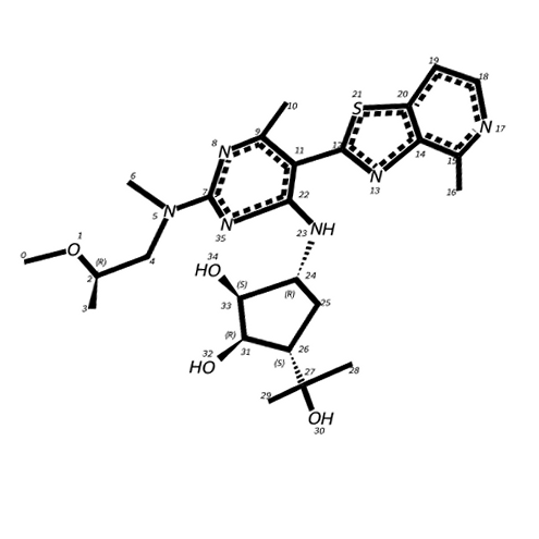 CO[C@H](C)CN(C)c1nc(C)c(-c2nc3c(C)nccc3s2)c(N[C@@H]2C[C@H](C(C)(C)O)[C@@H](O)[C@H]2O)n1